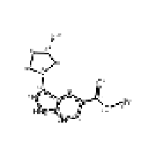 CC(C)OC(=O)c1cnc2[nH]nc(N3CC[C@H](F)C3)c2c1